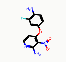 Nc1ccc(Oc2ccnc(N)c2[N+](=O)[O-])cc1F